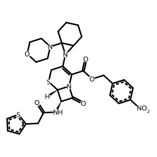 O=C(Cc1cccs1)N[C@@H]1C(=O)N2C(C(=O)OCc3ccc([N+](=O)[O-])cc3)=C(N3C4CCCCC43N3CCOCC3)CS[C@@H]12